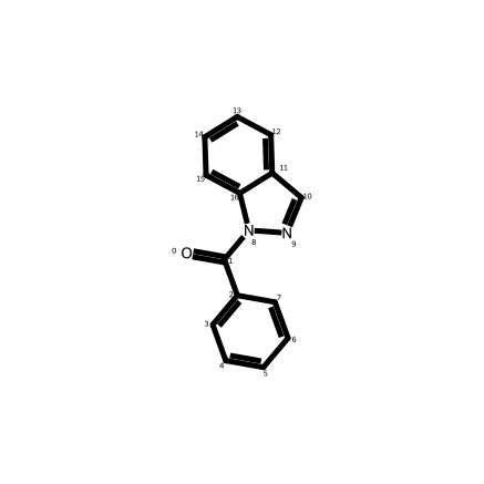 O=C(c1ccccc1)n1ncc2ccccc21